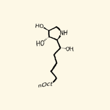 CCCCCCCCCCCC[C@@H](O)[C@@H]1NC[C@H](O)[C@H]1O